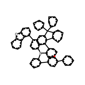 c1ccc(-c2ccc(-c3ccccc3N(c3ccc(-c4cccc5oc6ccccc6c45)cc3)c3ccccc3-c3cccc4c3-c3ccccc3C4(c3ccccc3)c3ccccc3)cc2)cc1